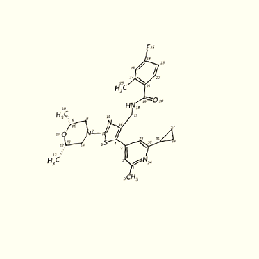 Cc1cc(-c2sc(N3C[C@@H](C)O[C@@H](C)C3)nc2CNC(=O)c2ccc(F)cc2C)cc(C2CC2)n1